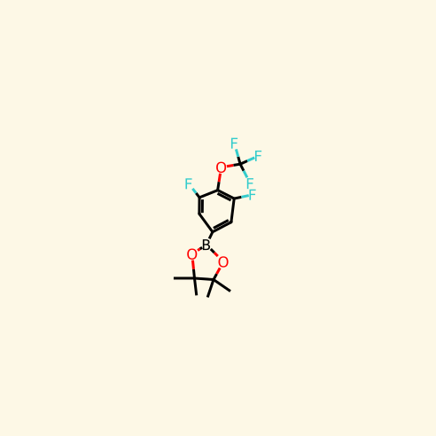 CC1(C)OB(c2cc(F)c(OC(F)(F)F)c(F)c2)OC1(C)C